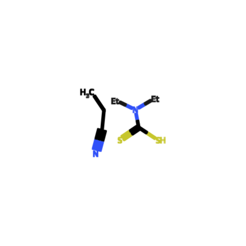 CCC#N.CCN(CC)C(=S)S